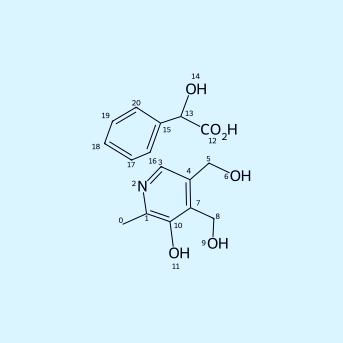 Cc1ncc(CO)c(CO)c1O.O=C(O)C(O)c1ccccc1